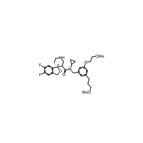 COCCCc1cc(CN(C(=O)C2CNCC[C@@]23OCc2cc(F)c(F)cc23)C2CC2)cc(OCCOC)c1